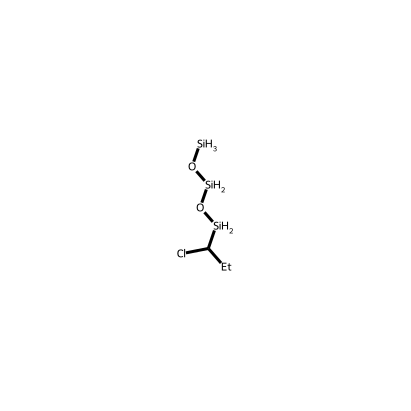 CCC(Cl)[SiH2]O[SiH2]O[SiH3]